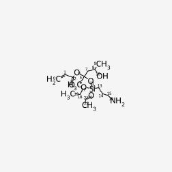 C=CC(=O)OC(C)(CC(C)O)O[Si](CCCN)(OCC)OCC